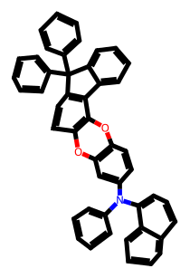 c1ccc(N(c2ccc3c(c2)Oc2ccc4c(c2O3)-c2ccccc2C4(c2ccccc2)c2ccccc2)c2cccc3ccccc23)cc1